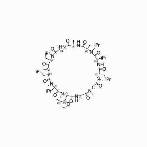 CC(C)C[C@@H]1C(=O)N(C)[C@H](CC(C)C)C(=O)N(C)[C@H](C(C)C)C(=O)N(C)[C@@H]([C@@H]2OCC[C@H]2C)C(=O)N[C@@H](C)C(=O)N(C)CC(=O)N(C)[C@@H](CC(C)C)C(=O)N[C@H](C(C)C)C(=O)N(C)[C@H](CC(C)C)C(=O)N[C@H](C)C(=O)N[C@@H](C)C(=O)N1C